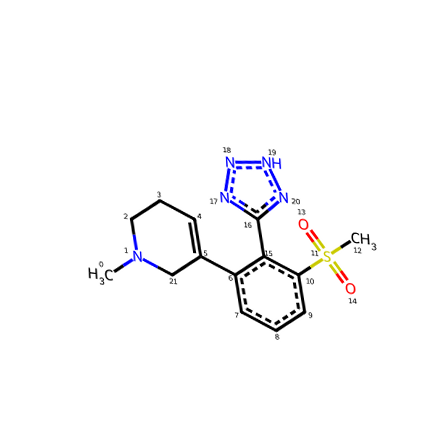 CN1CCC=C(c2cccc(S(C)(=O)=O)c2-c2nn[nH]n2)C1